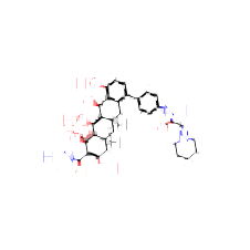 NC(=O)C1=C(O)C[C@@H]2C[C@@H]3Cc4c(-c5ccc(NC(=O)CN6CCCCC6)cc5)ccc(O)c4C(=O)C3=C(O)[C@]2(O)C1=O